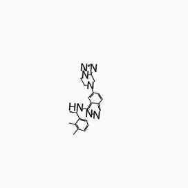 Cc1cccc([C@@H](C)Nc2nncc3ccc(N4CCn5ncnc5C4)cc23)c1C